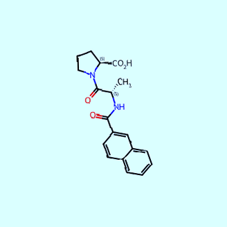 C[C@H](NC(=O)c1ccc2ccccc2c1)C(=O)N1CCC[C@H]1C(=O)O